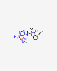 CC#Cc1cccc2cc(C(C)Nc3ncnc(N)c3-c3nc(C)no3)n(C3CC3)c(=O)c12